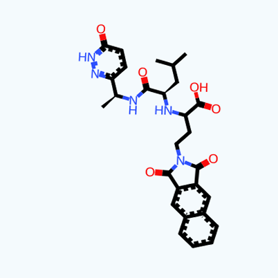 CC(C)C[C@@H](NC(CCN1C(=O)c2cc3ccccc3cc2C1=O)C(=O)O)C(=O)N[C@@H](C)c1ccc(=O)[nH]n1